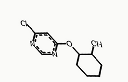 OC1CCCCC1Oc1cc(Cl)ncn1